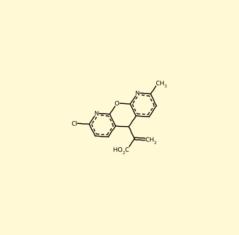 C=C(C(=O)O)C1c2ccc(C)nc2Oc2nc(Cl)ccc21